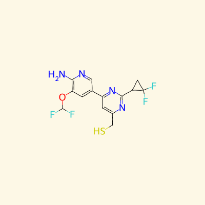 Nc1ncc(-c2cc(CS)nc(C3CC3(F)F)n2)cc1OC(F)F